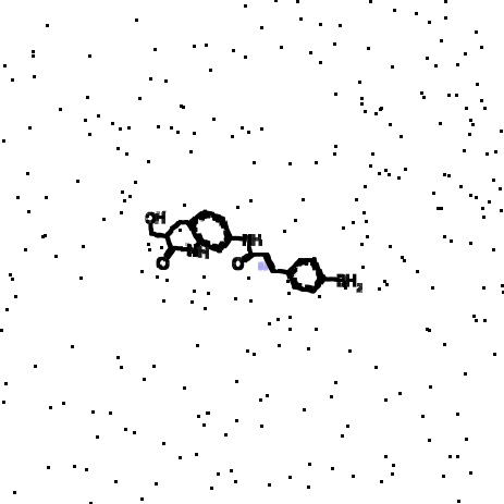 Bc1ccc(/C=C/C(=O)Nc2ccc3c(c2)NC(=O)C(CO)C3)cc1